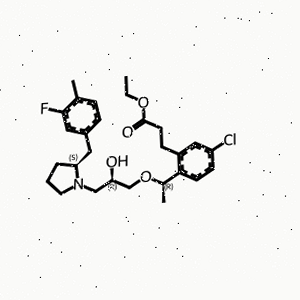 CCOC(=O)CCc1cc(Cl)ccc1[C@@H](C)OC[C@H](O)CN1CCC[C@H]1Cc1ccc(C)c(F)c1